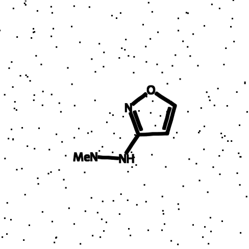 CNNc1ccon1